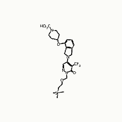 C[Si](C)(C)CCOCn1ncc(N2Cc3cccc(OC4CCN(C(=O)O)CC4)c3C2)c(C(F)(F)F)c1=O